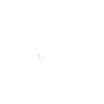 CC[C@@H](N)CCC(=O)C(C)(C)C